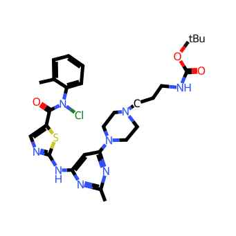 Cc1nc(Nc2ncc(C(=O)N(Cl)c3ccccc3C)s2)cc(N2CCN(CCCNC(=O)OC(C)(C)C)CC2)n1